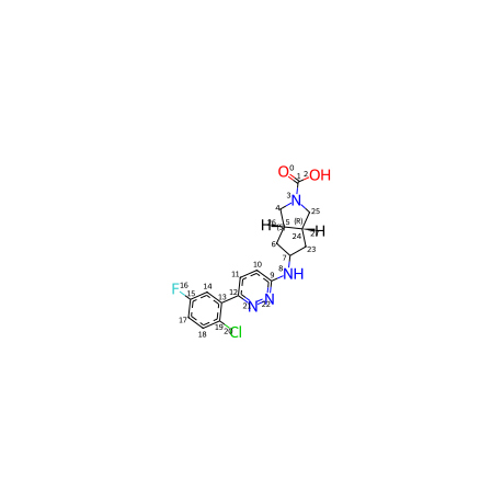 O=C(O)N1C[C@H]2CC(Nc3ccc(-c4cc(F)ccc4Cl)nn3)C[C@H]2C1